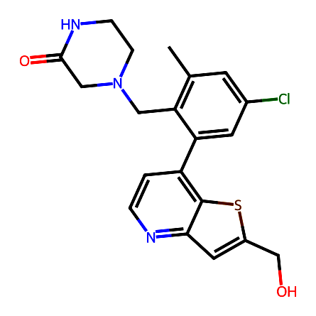 Cc1cc(Cl)cc(-c2ccnc3cc(CO)sc23)c1CN1CCNC(=O)C1